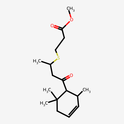 COC(=O)CCSC(C)CC(=O)C1C(C)C=CCC1(C)C